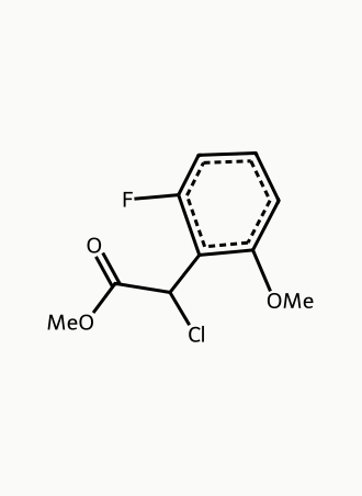 COC(=O)C(Cl)c1c(F)cccc1OC